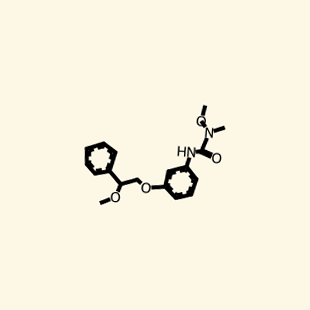 COC(COc1cccc(NC(=O)N(C)OC)c1)c1ccccc1